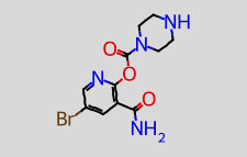 NC(=O)c1cc(Br)cnc1OC(=O)N1CCNCC1